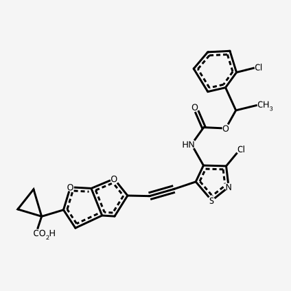 CC(OC(=O)Nc1c(Cl)nsc1C#Cc1cc2cc(C3(C(=O)O)CC3)oc2o1)c1ccccc1Cl